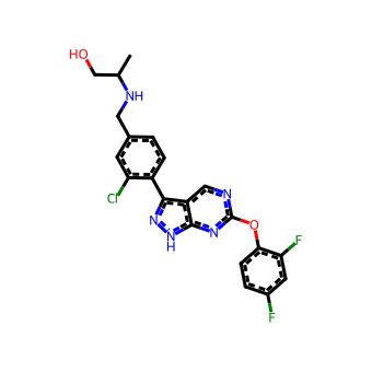 CC(CO)NCc1ccc(-c2n[nH]c3nc(Oc4ccc(F)cc4F)ncc23)c(Cl)c1